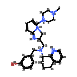 CN1CCN(C2=CC=CC3=NC(CN(Cc4cccc(Br)c4)[C@H]4CCCc5cccnc54)CN23)CC1